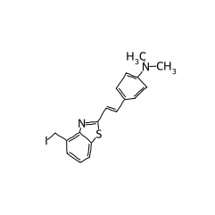 CN(C)c1ccc(C=Cc2nc3c(CI)cccc3s2)cc1